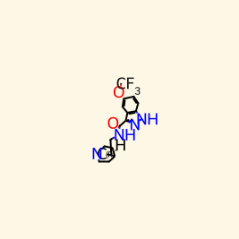 O=C(NC[C@@H]1CN2CCC1CC2)c1n[nH]c2ccc(OC(F)(F)F)cc12